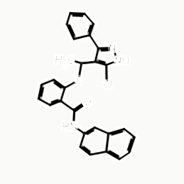 CC(Sc1ccccc1C(=O)Nc1ccc2ccccc2c1)c1c(-c2ccccc2)n[nH]c1Cl